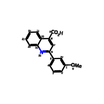 COc1cccc(-c2cc(C(=O)O)c3ccccc3n2)c1